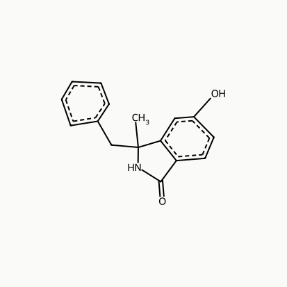 CC1(Cc2ccccc2)NC(=O)c2ccc(O)cc21